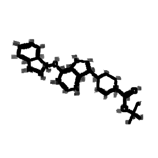 CC(C)(C)OC(=O)N1CCC(c2csc3c(On4nnc5ccccc54)ncnc23)CC1